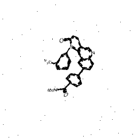 CNC(=O)c1ccc(-c2ccc3ncc4ccc(=O)n(-c5cccc(C(F)(F)F)c5)c4c3c2)cc1